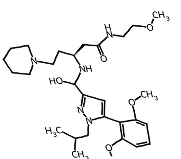 COCCNC(=O)C[C@H](CCN1CCCCC1)NC(O)c1cc(-c2c(OC)cccc2OC)n(CC(C)C)n1